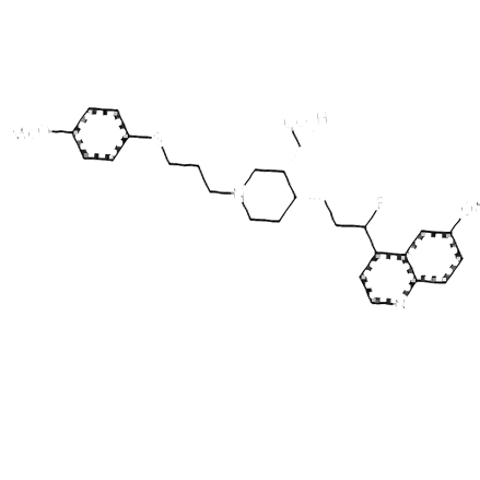 COc1ccc(SCCCN2CC[C@@H](CCC(F)c3ccnc4ccc(OC)cc34)[C@@H](CC(=O)O)C2)cc1